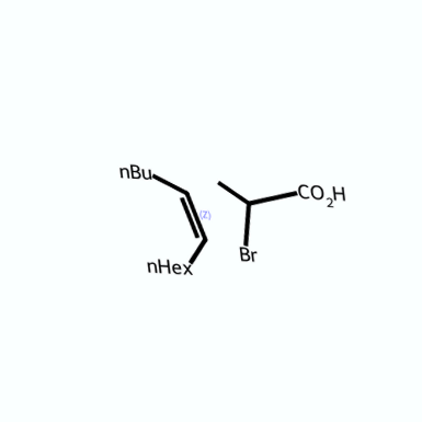 CC(Br)C(=O)O.CCCC/C=C\CCCCCC